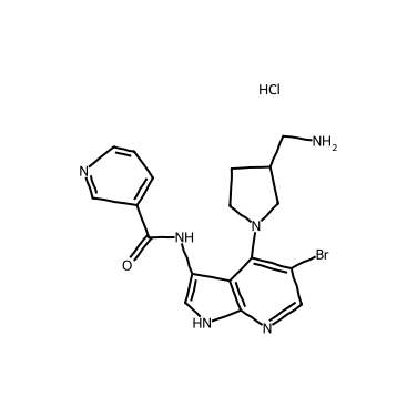 Cl.NCC1CCN(c2c(Br)cnc3[nH]cc(NC(=O)c4cccnc4)c23)C1